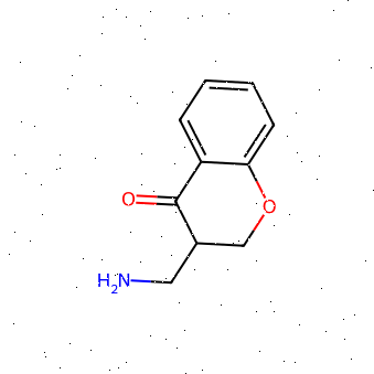 NCC1COc2ccccc2C1=O